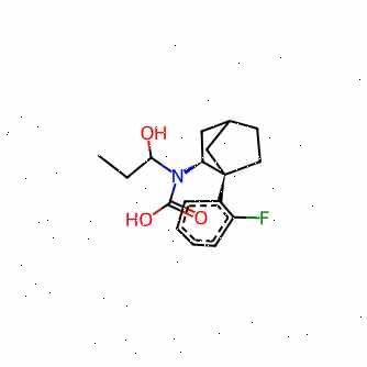 CCC(O)N(C(=O)O)[C@H]1CC2CC[C@@]1(c1ccccc1F)C2